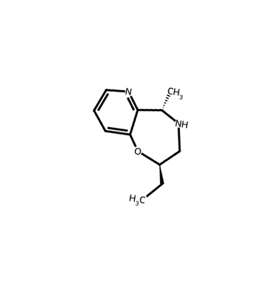 CC[C@@H]1CN[C@@H](C)c2ncccc2O1